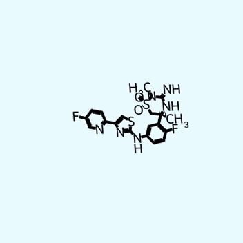 CN1C(=N)N[C@](C)(c2cc(Nc3nc(-c4ccc(F)cn4)cs3)ccc2F)CS1(=O)=O